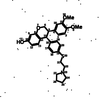 COc1ccc([C@@H]2COc3cc(O)ccc3[C@@H]2c2ccc(SCCN3CCCC3)cc2)cc1OC